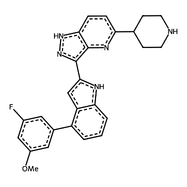 COc1cc(F)cc(-c2cccc3[nH]c(-c4n[nH]c5ccc(C6CCNCC6)nc45)cc23)c1